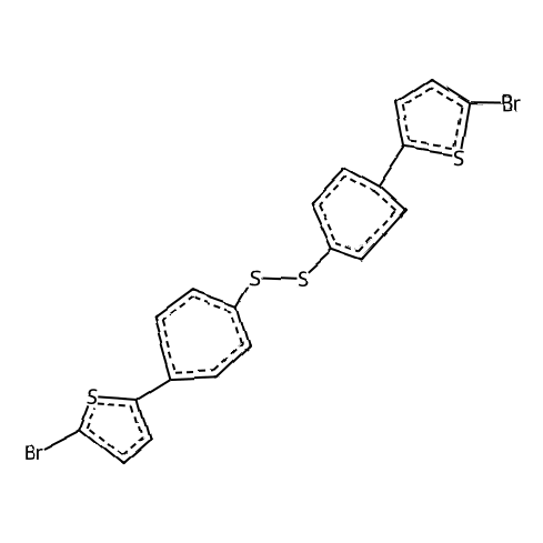 Brc1ccc(-c2ccc(SSc3ccc(-c4ccc(Br)s4)cc3)cc2)s1